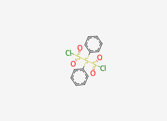 O=S(=O)(Cl)S(c1ccccc1)(c1ccccc1)S(=O)(=O)Cl